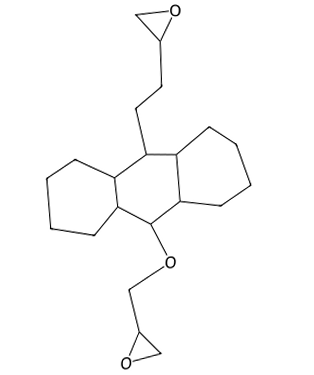 C1CCC2C(C1)C(CCC1CO1)C1CCCCC1C2OCC1CO1